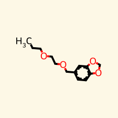 CCCOCCOCc1ccc2c(c1)OCO2